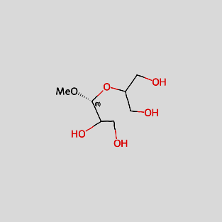 CO[C@H](OC(CO)CO)C(O)CO